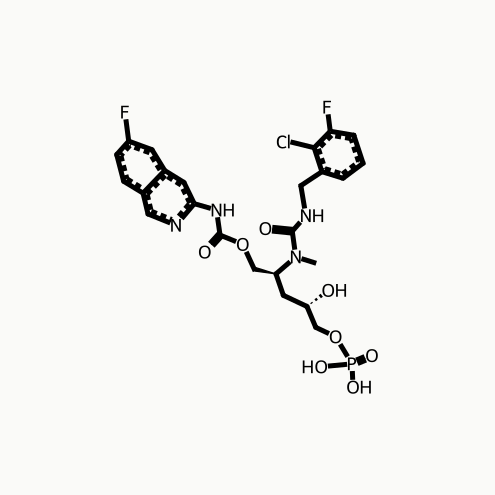 CN(C(=O)NCc1cccc(F)c1Cl)[C@H](COC(=O)Nc1cc2cc(F)ccc2cn1)C[C@H](O)COP(=O)(O)O